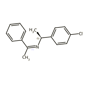 C/C(=N/[C@@H](C)c1ccc(Cl)cc1)c1ccccc1